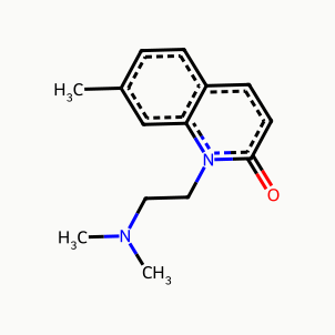 Cc1ccc2ccc(=O)n(CCN(C)C)c2c1